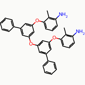 Cc1c(N)cccc1Oc1cc(Oc2cc(Oc3cccc(N)c3C)cc(-c3ccccc3)c2)cc(-c2ccccc2)c1